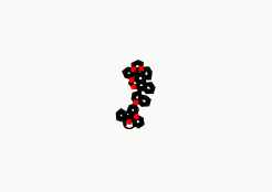 O=P(c1ccccc1)(c1ccccc1)c1ccc(-c2ccc(-c3c4ccccc4c4c5c(cccc35)C(c3ccccc3)(c3ccccc3)c3ccccc3-4)c3ccccc23)cc1